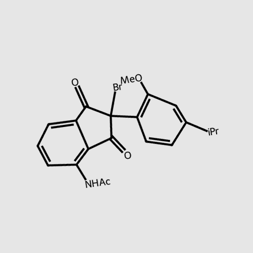 COc1cc(C(C)C)ccc1C1(Br)C(=O)c2cccc(NC(C)=O)c2C1=O